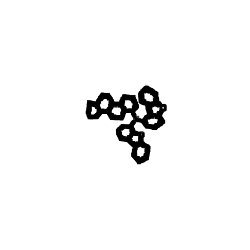 c1ccc2c(c1)ccc1c3cccc(N(c4cccc5c4oc4ccccc45)c4cccc5oc6ccccc6c45)c3ccc21